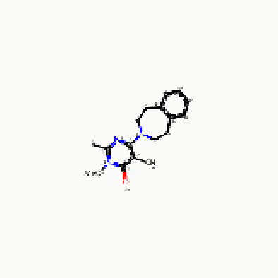 COn1c(C)nc(N2CCc3ccccc3CC2)c(C#N)c1=O